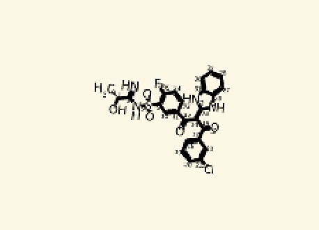 C[C@@H](O)C(=N)NS(=O)(=O)c1cc(C(=O)C(C(=O)c2cccc(Cl)c2)=C2Nc3ccccc3N2)ccc1F